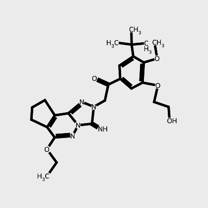 CCOc1nn2c(=N)n(CC(=O)c3cc(OCCO)c(OC)c(C(C)(C)C)c3)nc2c2c1CCC2